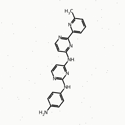 Cc1cccc(-c2nccc(Nc3ccnc(Nc4ccc(N)cc4)n3)n2)n1